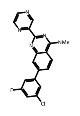 CNc1nc(-c2cnccn2)nc2cc(-c3cc(F)cc(Cl)c3)ccc12